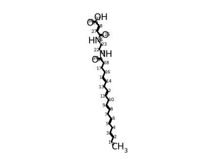 CCC=CCC=CCC=CCC=CCC=CCCCC(=O)NCCNC(=O)/C=C/C(=O)O